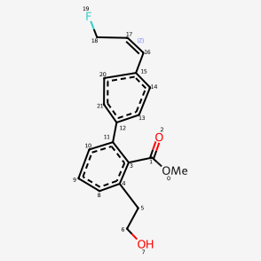 COC(=O)c1c(CCO)cccc1-c1ccc(/C=C\CF)cc1